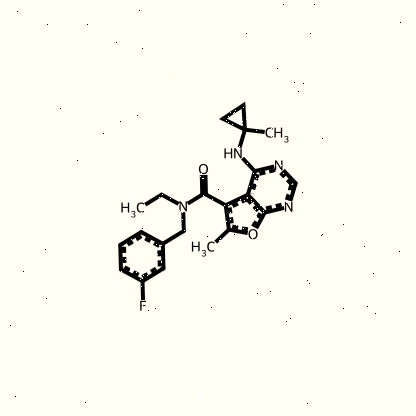 CCN(Cc1cccc(F)c1)C(=O)c1c(C)oc2ncnc(NC3(C)CC3)c12